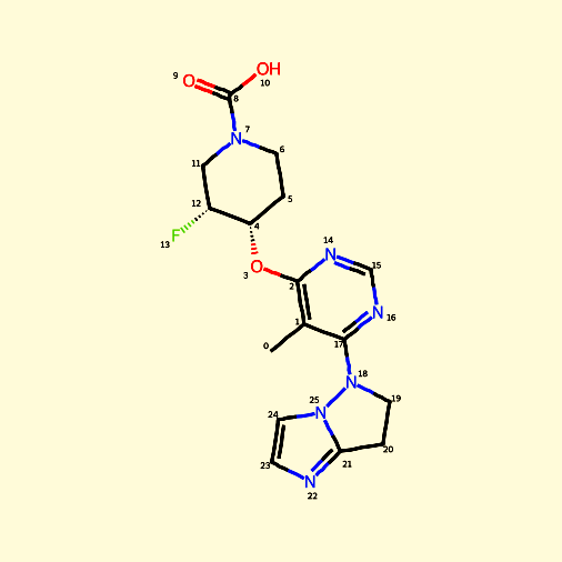 Cc1c(O[C@H]2CCN(C(=O)O)C[C@H]2F)ncnc1N1CCc2nccn21